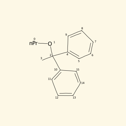 CCCOC(C)(c1ccccc1)c1ccccc1